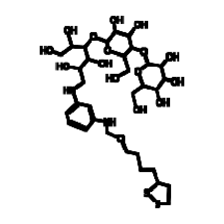 OCC(O)C(OC1OC(CO)C(OC2OC(CO)C(O)C(O)C2O)C(O)C1O)C(O)C(O)CNc1cccc(NCOCCCCC2CCSS2)c1